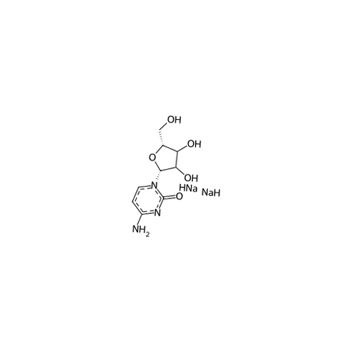 Nc1ccn([C@@H]2O[C@H](CO)C(O)C2O)c(=O)n1.[NaH].[NaH]